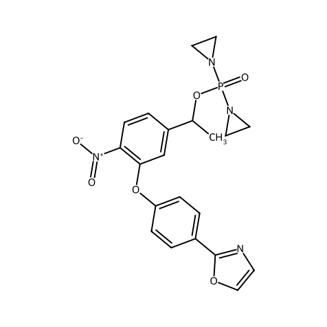 CC(OP(=O)(N1CC1)N1CC1)c1ccc([N+](=O)[O-])c(Oc2ccc(-c3ncco3)cc2)c1